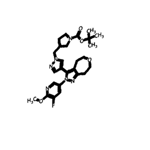 COc1ncc(-n2nc3c(c2-c2cnn(CC4CCN(C(=O)OC(C)(C)C)C4)c2)CCOCC3)cc1F